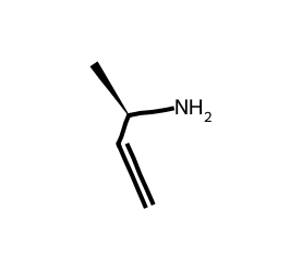 C=C[C@@H](C)N